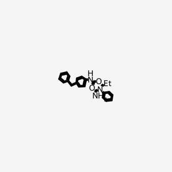 [CH2]C[C@@H](OC(=O)Nc1ccc(Cc2ccccc2)cc1)N(CN)c1ccccc1